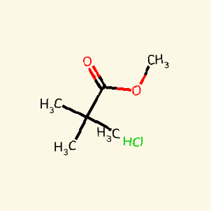 COC(=O)C(C)(C)C.Cl